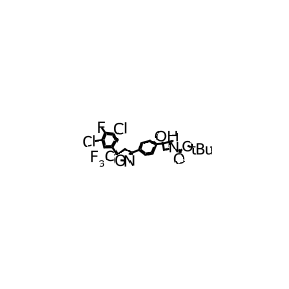 CC(C)(C)OC(=O)N1CC(O)(c2ccc(C3=NOC(c4cc(Cl)c(F)c(Cl)c4)(C(F)(F)F)C3)cc2)C1